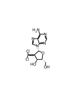 Nc1ncnc2c1ncn2[C@@H]1O[C@H](CO)[C@@H](O)C1=C(Cl)Cl